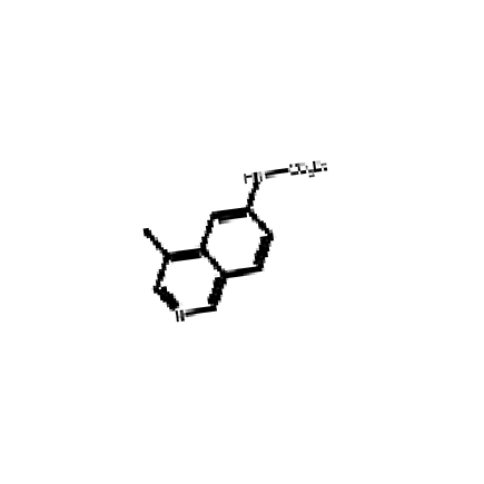 CCOC(=O)Nc1ccc2cncc(C)c2c1